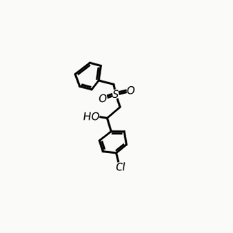 O=S(=O)(Cc1ccccc1)CC(O)c1ccc(Cl)cc1